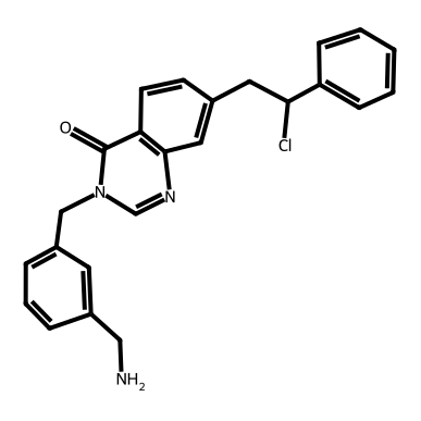 NCc1cccc(Cn2cnc3cc(CC(Cl)c4ccccc4)ccc3c2=O)c1